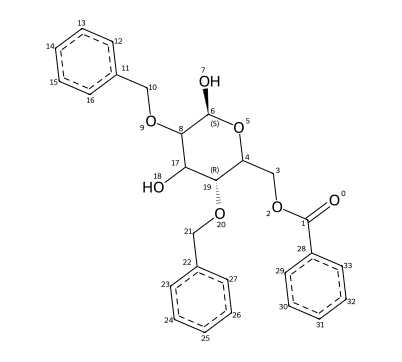 O=C(OCC1O[C@H](O)C(OCc2ccccc2)C(O)[C@H]1OCc1ccccc1)c1ccccc1